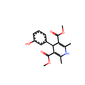 COC(=O)C1=C(C)NC(C)=C(C(=O)OC)C1c1cccc(O)c1